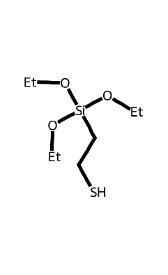 CCO[Si](CCS)(OCC)OCC